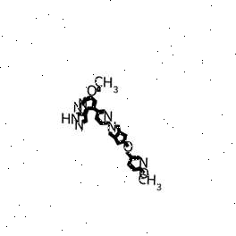 CCOc1cc(-c2ccc(N3CC4CC(OCc5ccc(OC)nc5)CC4C3)nc2)c2c3cn[nH]c3nn2c1